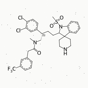 CN(C[C@@H](CCC1N(S(C)(=O)=O)c2ccccc2C12CCNCC2)c1ccc(Cl)c(Cl)c1)C(=O)Cc1cccc(C(F)(F)F)c1